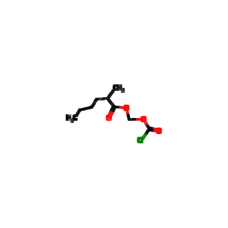 CCCCC(C)C(=O)OCOC(=O)Cl